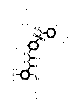 CCOc1ccc(Br)cc1C(=O)NC(=S)Nc1ccc(S(=O)(=O)N(C)c2ccccc2)cc1